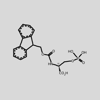 O=C(N[C@@H](COP(=O)(O)O)C(=O)O)OCC1c2ccccc2-c2ccccc21